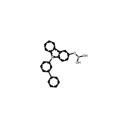 OB(O)Oc1ccc2c(c1)c1ccccc1n2-c1cccc(-c2ccccc2)c1